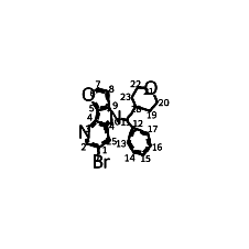 Brc1cnc2c3occc3n(C(c3ccccc3)C3CCOCC3)c2c1